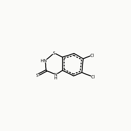 S=C1NSc2cc(Cl)c(Cl)cc2N1